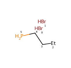 Br.Br.CCCCP